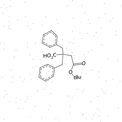 CC(C)(C)OC(=O)CC(Cc1ccccc1)(Cc1ccccc1)C(=O)O